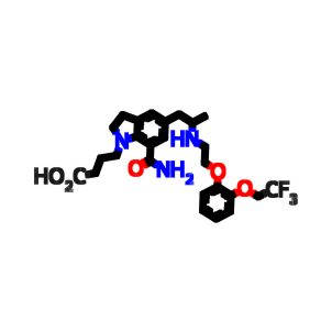 CC(Cc1cc2c(c(C(N)=O)c1)N(CCCC(=O)O)CC2)NCCOc1ccccc1OCC(F)(F)F